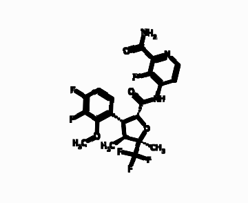 COc1c([C@@H]2[C@H](C(=O)Nc3ccnc(C(N)=O)c3F)O[C@@](C)(C(F)(F)F)[C@H]2C)ccc(F)c1F